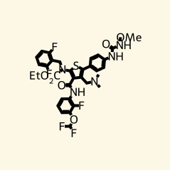 CCOC(=O)N(Cc1c(F)cccc1F)c1sc(-c2ccc(NC(=O)NOC)cc2)c(CN(C)C)c1C(=O)Nc1cccc(OC(F)F)c1F